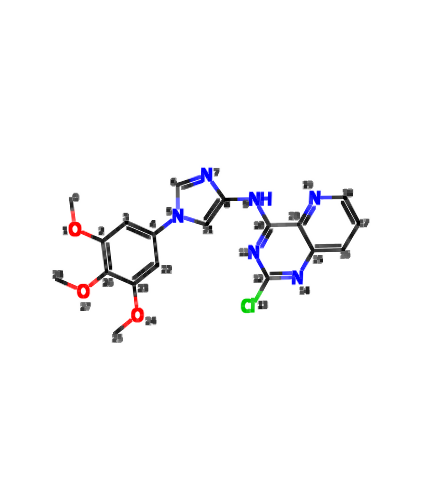 COc1cc(-n2cnc(Nc3nc(Cl)nc4cccnc34)c2)cc(OC)c1OC